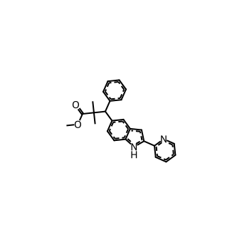 COC(=O)C(C)(C)C(c1ccccc1)c1ccc2[nH]c(-c3ccccn3)cc2c1